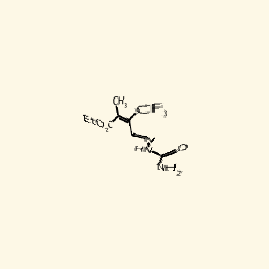 CCOC(=O)/C(C)=C(\C=N\NC(N)=O)C(F)(F)F